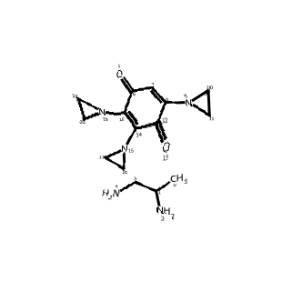 CC(N)CN.O=C1C=C(N2CC2)C(=O)C(N2CC2)=C1N1CC1